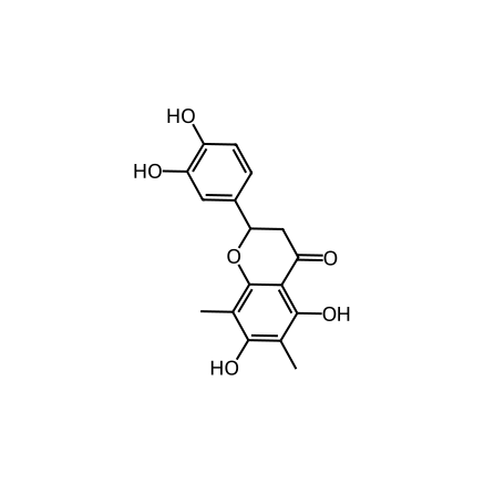 Cc1c(O)c(C)c2c(c1O)C(=O)CC(c1ccc(O)c(O)c1)O2